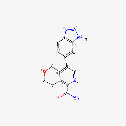 Cn1nnc2ccc(-c3cnc(C(N)=O)c4c3COC[CH]4)cc21